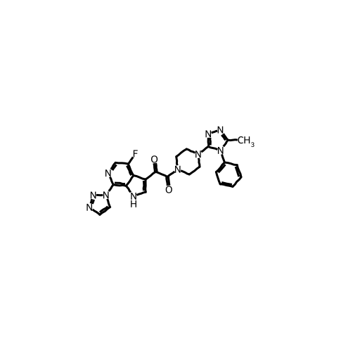 Cc1nnc(N2CCN(C(=O)C(=O)c3c[nH]c4c(-n5ccnn5)ncc(F)c34)CC2)n1-c1ccccc1